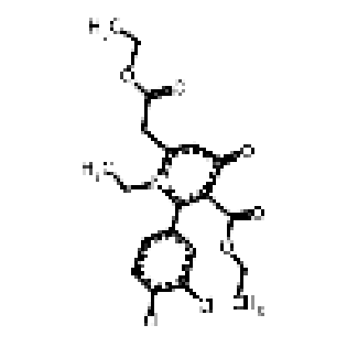 CCOC(=O)Cc1cc(=O)c(C(=O)OCC)c(-c2ccc(Cl)c(Cl)c2)n1CC